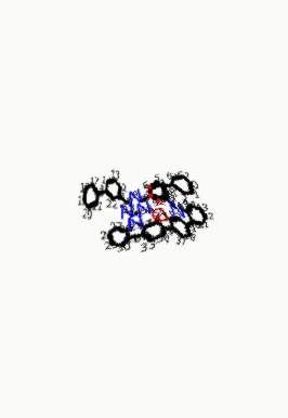 c1ccc(-c2ccc(-c3nc(-c4cccc(-c5ccccc5)c4)nc(-n4c5ccccc5c5ccc6c7ccc8c9ccccc9n(-c9ccccc9)c8c7oc6c54)n3)cc2)cc1